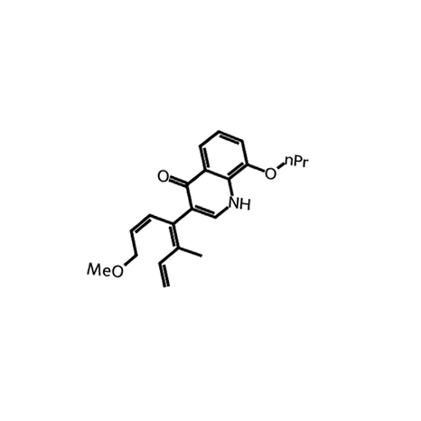 C=C/C(C)=C(\C=C/COC)c1c[nH]c2c(OCCC)cccc2c1=O